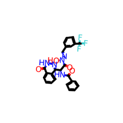 O=C(NC(C(=O)N(O)N=Cc1cccc(C(F)(F)F)c1)c1n[nH]c(=O)c2ccccc12)c1ccccc1